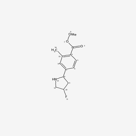 COOC(=O)c1ccc(C2CC(F)CN2)cc1C